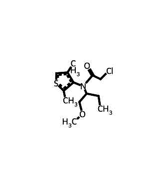 CCC(COC)N(C(=O)CCl)c1c(C)csc1C